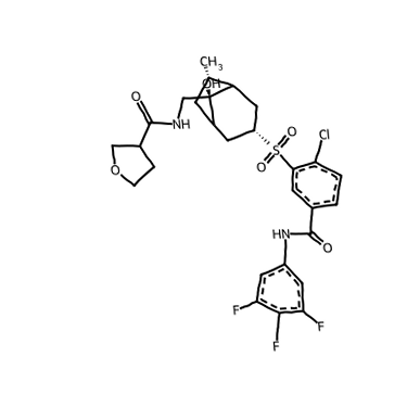 C[C@H]1CC2C[C@@H](S(=O)(=O)c3cc(C(=O)Nc4cc(F)c(F)c(F)c4)ccc3Cl)CC1[C@@]2(O)CNC(=O)C1CCOC1